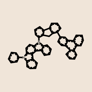 c1ccc(-n2c3ccccc3c3c4c5ccccc5n(-c5cccc6c5Cc5c(-c7ccc8c9ccccc9c9ccccc9c8c7)cccc5-6)c4ccc32)cc1